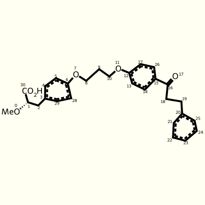 CO[C@@H](Cc1ccc(OCCCOc2ccc(C(=O)CCc3ccccc3)cc2)cc1)C(=O)O